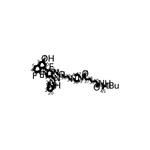 CCc1c(F)ccc2cc(O)cc(-c3ncc4c(N5CC6CCC(C5)N6)nc(OCCCN5CCN(C(=O)CCCCC(=O)NC(C)C(C)(C)C)CC5)nc4c3F)c12